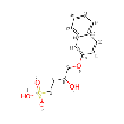 O=S(=O)(O)CCC(O)COc1ccc2ccccc2c1